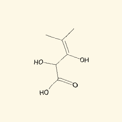 CC(C)=C(O)C(O)C(=O)O